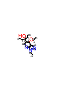 CCOc1c(C(O)(CC)CC)cnc2c1cnn2CC